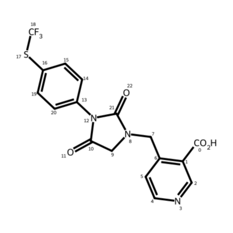 O=C(O)c1cnccc1CN1CC(=O)N(c2ccc(SC(F)(F)F)cc2)C1=O